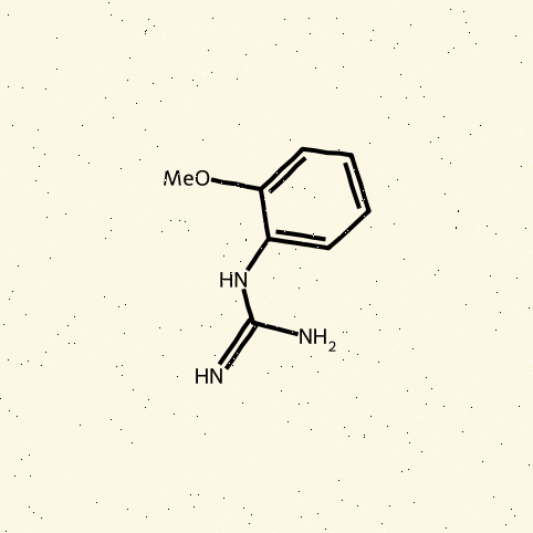 COc1ccccc1NC(=N)N